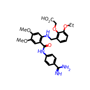 CCOc1cccc(CNc2cc(OC)c(OC)cc2C(=O)Nc2ccc(C(=N)N)cc2)c1OCC(=O)O